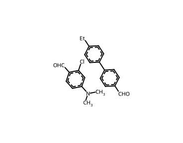 CCc1ccc(-c2ccc(C=O)cc2)cc1.CN(C)c1ccc(C=O)c(Cl)c1